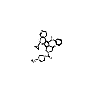 CN1CCN(C(=O)N2CC(=O)c3c([nH]c(C4=C(OCC5CC5)C=NCC4)c3NC3=C=C=CC=C3)C2)CC1